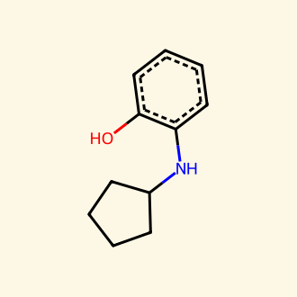 Oc1ccccc1NC1CCCC1